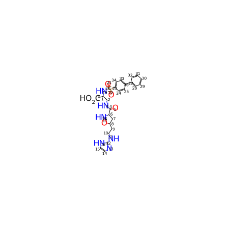 O=C(O)C(CNC(=O)C1CC(CCNc2ncc[nH]2)ON1)NS(=O)(=O)c1ccc(-c2ccccc2)cc1